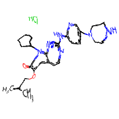 CC(C)COc1cc2cnc(Nc3ccc(N4CCNCC4)cn3)nc2n(C2CCCC2)c1=O.Cl